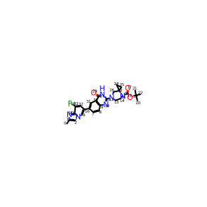 Cc1cn2cc(-c3ccc4nc(N5CCN(C(=O)OC(C)(C)C)C6(CC6)C5)[nH]c(=O)c4c3)cc(F)c2n1